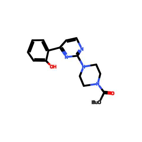 CC(C)COC(=O)N1CCN(c2nccc(-c3ccccc3O)n2)CC1